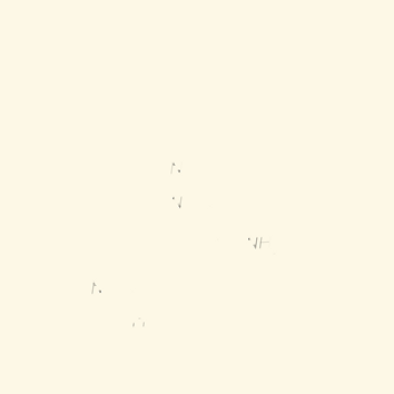 CC1=CC=C(c2cc3c(N)cc(C(=O)N4CCCC4)cn3n2)C1